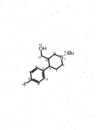 CC[C@@H](C)N1CCC(c2ccc(F)cc2)C(CO)C1